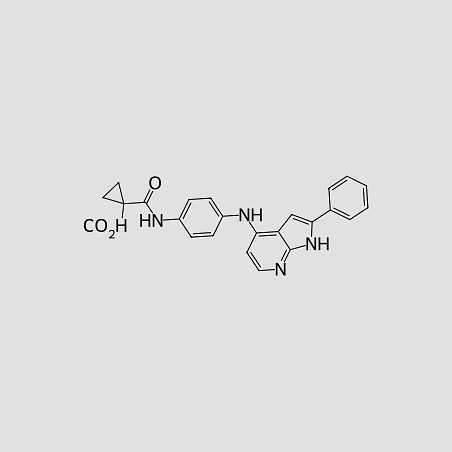 O=C(O)C1(C(=O)Nc2ccc(Nc3ccnc4[nH]c(-c5ccccc5)cc34)cc2)CC1